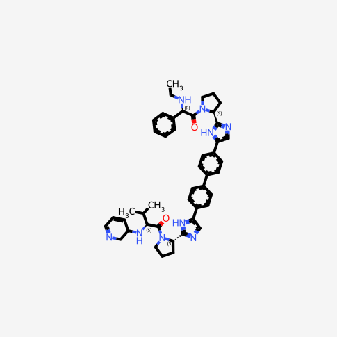 CCN[C@@H](C(=O)N1CCC[C@H]1c1ncc(-c2ccc(-c3ccc(-c4cnc([C@@H]5CCCN5C(=O)[C@@H](NC5C=CC=NC5)C(C)C)[nH]4)cc3)cc2)[nH]1)c1ccccc1